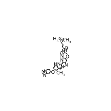 Cc1c(Oc2ccn3ncnc3c2)ccc(Nc2ncnc3cc4c(nc23)N2CCN(C(=O)/C=C/CN(C)C)[C@@H](CO4)C2)c1F